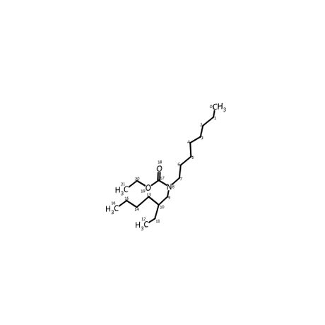 CCCCCCCCN(CC(CC)CCCC)C(=O)OCC